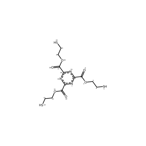 O=C(OCCS)c1nc(C(=O)OCCS)nc(C(=O)OCCS)n1